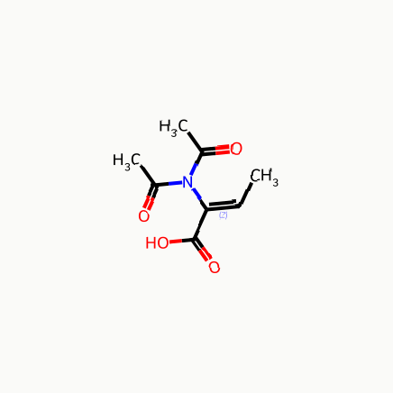 C/C=C(/C(=O)O)N(C(C)=O)C(C)=O